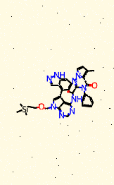 Cc1ccn2nc(C(C)Nc3ncnc4c3c(-c3cccc5[nH]ncc35)cn4COCC[Si](C)(C)C)n(-c3ccccc3)c(=O)c12